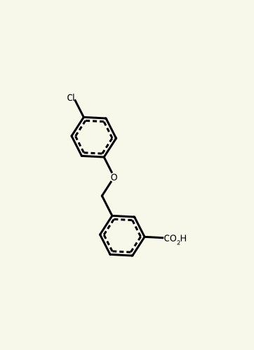 O=C(O)c1cccc(COc2ccc(Cl)cc2)c1